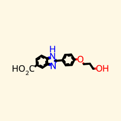 O=C(O)c1ccc2[nH]c(-c3ccc(OCCCO)cc3)nc2c1